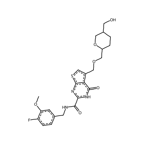 COc1cc(CNC(=O)c2nc3scc(COCC4CCC(CO)CO4)c3c(=O)[nH]2)ccc1F